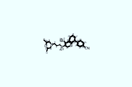 CCC(C)c1c(N(CC)CCCN2CC(C)OC(C)C2)cnc2c(-c3ccc(C#N)cc3)cccc12